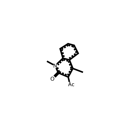 CC(=O)c1c(C)c2ccccc2n(C)c1=O